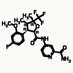 COc1cc(F)ccc1[C@@H]1[C@@H](C)[C@](C)(C(F)(F)F)O[C@H]1C(=O)Nc1ccnc(C(N)=O)c1